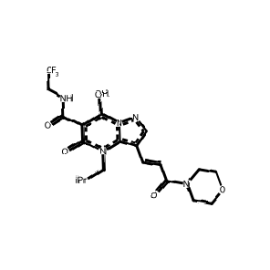 CC(C)Cn1c(=O)c(C(=O)NCC(F)(F)F)c(O)n2ncc(/C=C/C(=O)N3CCOCC3)c12